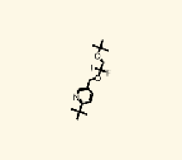 CC(C)(C)OCC(F)(F)OCc1ccc(C(C)(C)C)nc1